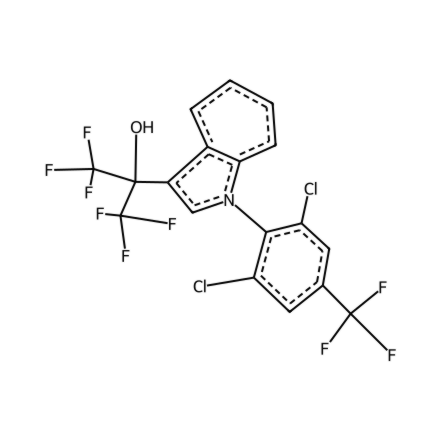 OC(c1cn(-c2c(Cl)cc(C(F)(F)F)cc2Cl)c2ccccc12)(C(F)(F)F)C(F)(F)F